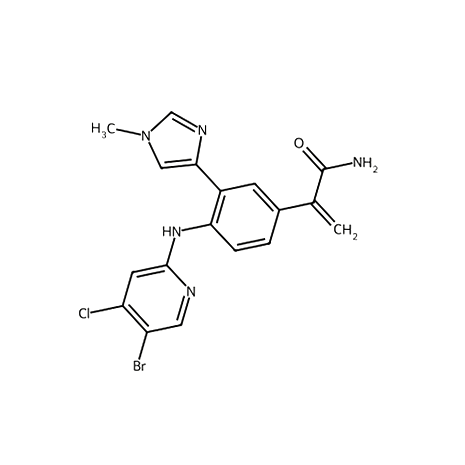 C=C(C(N)=O)c1ccc(Nc2cc(Cl)c(Br)cn2)c(-c2cn(C)cn2)c1